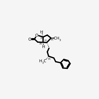 C[C@@H](CCc1ccccc1)CC[C@@H]1[C@H]2CC(=O)O[C@H]2C[C@H]1C